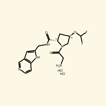 Cl.Cl.NCC(=O)N1C[C@H](OC(F)F)C[C@H]1C(=O)NCc1cc2cnccc2[nH]1